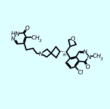 Cc1c(CCCN2CC3(CC([C@@H](c4ccc(Cl)c5c(=O)n(C)ncc45)C4COC4)C3)C2)cn[nH]c1=O